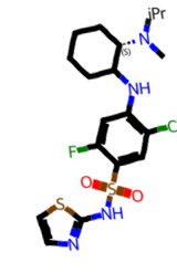 CC(C)N(C)[C@H]1CCCCC1Nc1cc(F)c(S(=O)(=O)Nc2nccs2)cc1Cl